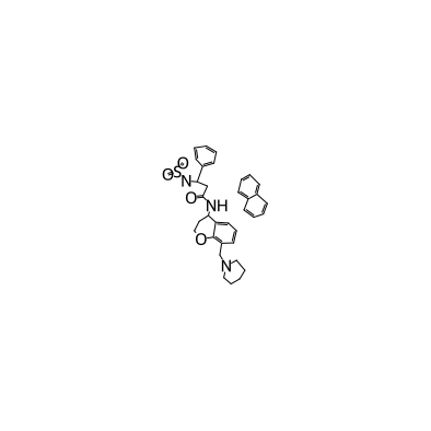 O=C(CC(N=S(=O)=O)c1ccccc1)NC1CCOc2c(CN3CCCCC3)cccc21.c1ccc2ccccc2c1